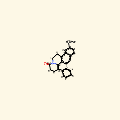 COc1ccc2ccc3c(c2c1)CCN1C(=O)CCC(c2ccccc2)=C31